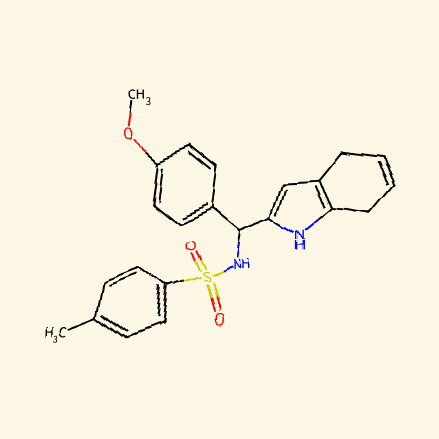 COc1ccc(C(NS(=O)(=O)c2ccc(C)cc2)c2cc3c([nH]2)CC=CC3)cc1